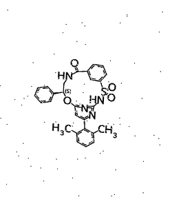 Cc1cccc(C)c1-c1cc2nc(n1)NS(=O)(=O)c1cccc(c1)C(=O)NC[C@H](c1ccccc1)O2